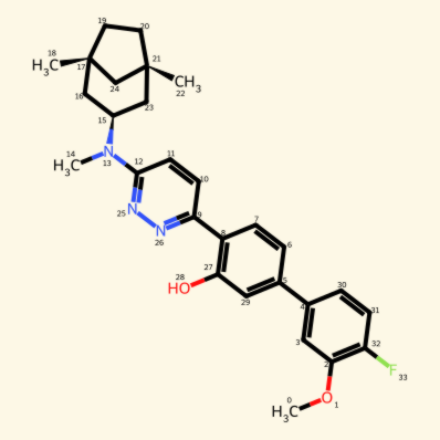 COc1cc(-c2ccc(-c3ccc(N(C)[C@H]4C[C@]5(C)CC[C@](C)(C4)C5)nn3)c(O)c2)ccc1F